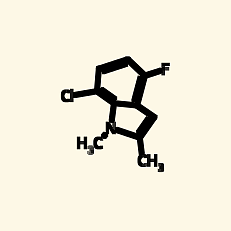 Cc1cc2c(F)ccc(Cl)c2n1C